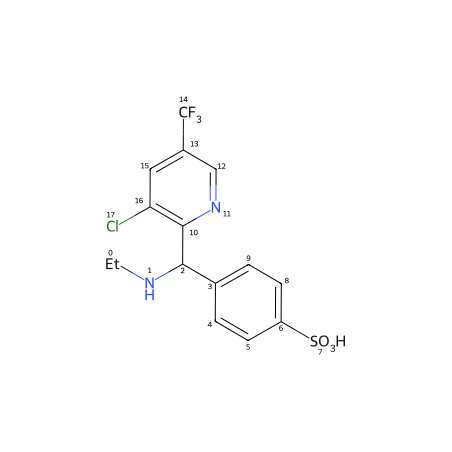 CCNC(c1ccc(S(=O)(=O)O)cc1)c1ncc(C(F)(F)F)cc1Cl